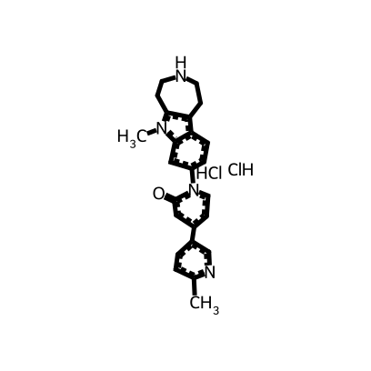 Cc1ccc(-c2ccn(-c3ccc4c5c(n(C)c4c3)CCNCC5)c(=O)c2)cn1.Cl.Cl